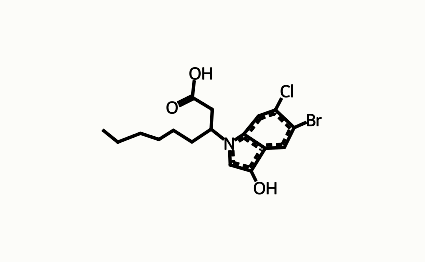 CCCCCCC(CC(=O)O)n1cc(O)c2cc(Br)c(Cl)cc21